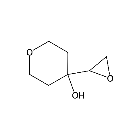 OC1(C2CO2)CCOCC1